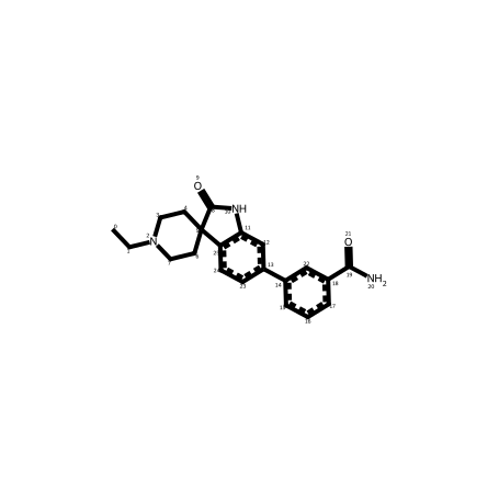 CCN1CCC2(CC1)C(=O)Nc1cc(-c3cccc(C(N)=O)c3)ccc12